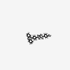 Brc1ccc(C2=NC3=NC(c4ccc(N5c6ccccc6Oc6ccccc65)cc4)=NC3=N2)cc1